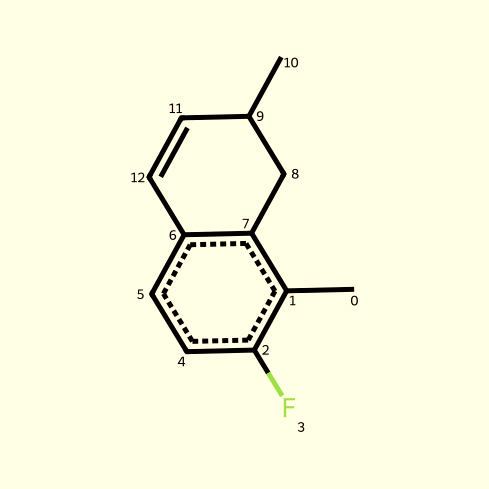 Cc1c(F)ccc2c1CC(C)C=C2